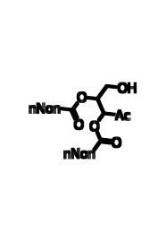 CCCCCCCCCC(=O)OC(CO)C(OC(=O)CCCCCCCCC)C(C)=O